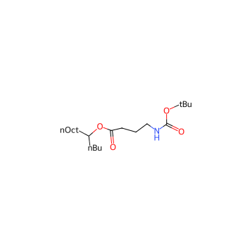 CCCCCCCCC(CCCC)OC(=O)CCCNC(=O)OC(C)(C)C